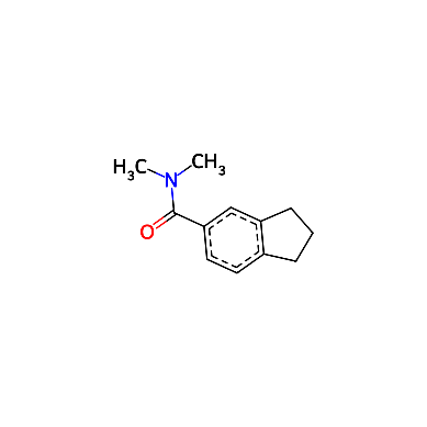 CN(C)C(=O)c1ccc2c(c1)CCC2